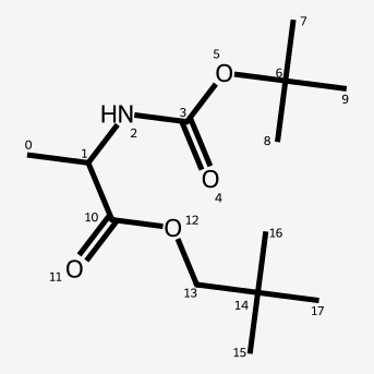 CC(NC(=O)OC(C)(C)C)C(=O)OCC(C)(C)C